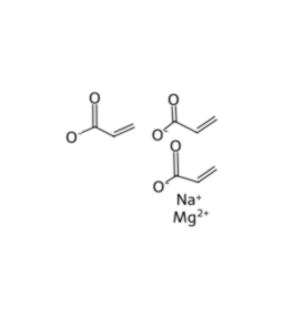 C=CC(=O)[O-].C=CC(=O)[O-].C=CC(=O)[O-].[Mg+2].[Na+]